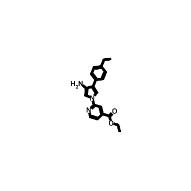 CCOC(=O)c1ccnc(-n2cc(N)c(-c3ccc(CC)cc3)c2)c1